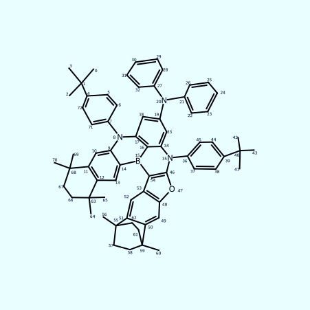 CC(C)(C)c1ccc(N2c3cc4c(cc3B3c5c2cc(N(c2ccccc2)c2ccccc2)cc5N(c2ccc(C(C)(C)C)cc2)c2oc5cc6c(cc5c23)C2(C)CCC6(C)CC2)C(C)(C)CCC4(C)C)cc1